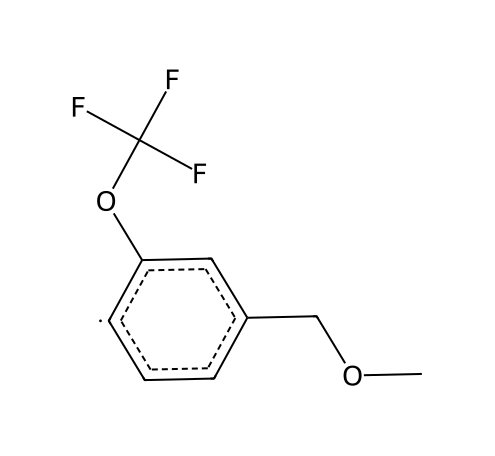 COCc1cc[c]c(OC(F)(F)F)c1